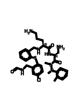 Cc1ccccc1N(C)N(C)C(=O)[C@H](CN)NC(=O)[C@H](CCCN)NCc1ccccc1Sc1ccc(Cl)cc1CNC=O